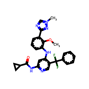 COc1c(Nc2cc(NC(=O)C3CC3)ncc2C(F)(F)c2ccccc2)cccc1-c1ncn(C)n1